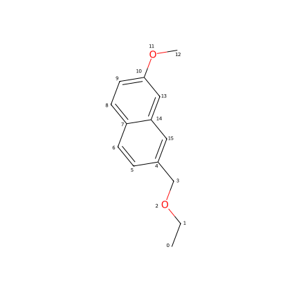 CCOCc1ccc2ccc(OC)cc2c1